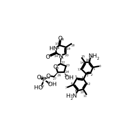 Cc1cc(-c2cc(C)c(N)c(C)c2)cc(C)c1N.Cc1cn([C@H]2C[C@H](O)[C@@H](COP(=O)(O)O)O2)c(=O)[nH]c1=O